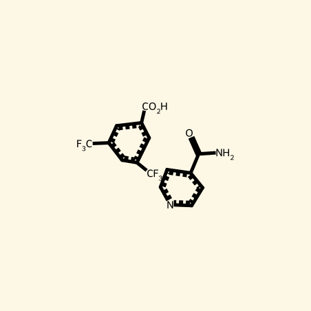 NC(=O)c1ccncc1.O=C(O)c1cc(C(F)(F)F)cc(C(F)(F)F)c1